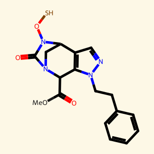 COC(=O)C1c2c(cnn2CCc2ccccc2)C2CN1C(=O)N2OS